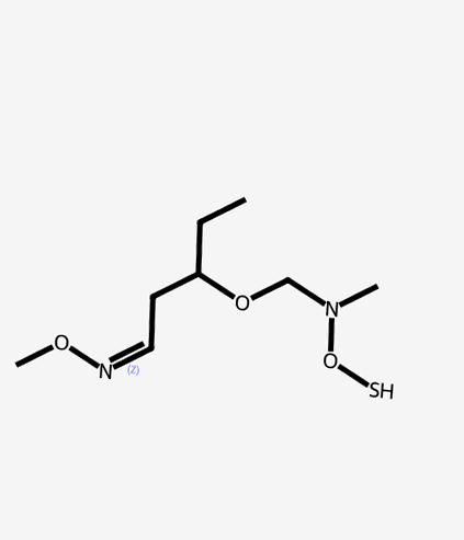 CCC(C/C=N\OC)OCN(C)OS